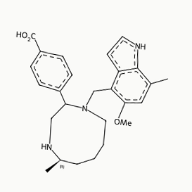 COc1cc(C)c2[nH]ccc2c1CN1CCCC[C@@H](C)NCC1c1ccc(C(=O)O)cc1